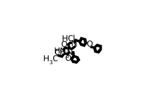 CC(C)CC1NC(=O)C2(CCN(Cc3ccc(OCc4ccccc4)cc3)CC2)N(Cc2ccccc2)C1=O.Cl